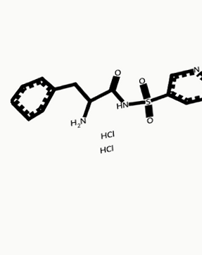 Cl.Cl.NC(Cc1ccccc1)C(=O)NS(=O)(=O)c1cccnc1